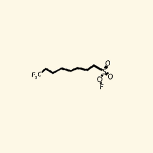 O=S(=O)(CCCCCCCC(F)(F)F)OF